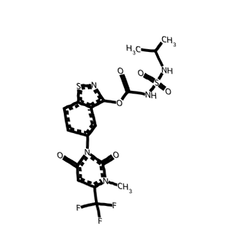 CC(C)NS(=O)(=O)NC(=O)Oc1nsc2ccc(-n3c(=O)cc(C(F)(F)F)n(C)c3=O)cc12